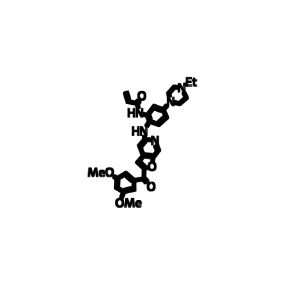 C=CC(=O)Nc1cc(N2CCN(CC)CC2)ccc1Nc1cc2cc(C(=O)c3cc(OC)cc(OC)c3)oc2cn1